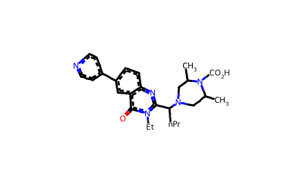 CCCC(c1nc2ccc(-c3ccncc3)cc2c(=O)n1CC)N1CC(C)N(C(=O)O)C(C)C1